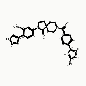 COc1cc(N2CCC3(CCN(C(=O)c4ccc(-c5noc(C(C)C)n5)cc4)CC3)C2=O)ccc1-c1cn[nH]c1